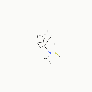 CSN(C(C)C)C1CC2C[C@H]([C@H]1C)C2(C)C